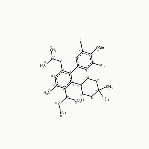 COc1c(F)cc(-c2c(CN(C)C)nc(C)c(C(OC(C)(C)C)C(=O)O)c2N2CCC(C)(C)CC2)cc1F